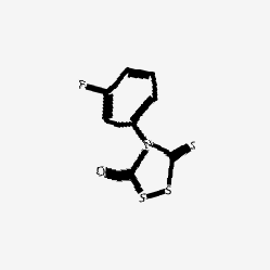 O=c1ssc(=S)n1-c1cccc(F)c1